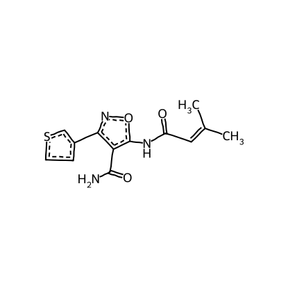 CC(C)=CC(=O)Nc1onc(-c2ccsc2)c1C(N)=O